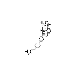 CCCC1CCC(C2CCC(COc3cccc(OC(C)F)c3C(F)(F)F)CC2)CC1